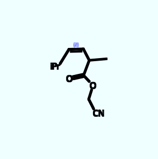 CC(C)/C=C\C(C)C(=O)OCC#N